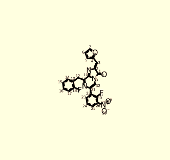 O=C1/C(=C/c2ccco2)N=C2C(Cc3ccccc3F)=NC(c3cccc([N+](=O)[O-])c3F)=CN12